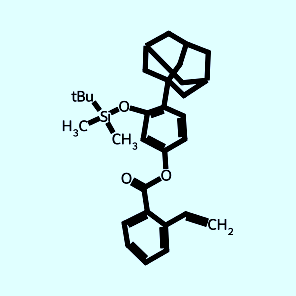 C=Cc1ccccc1C(=O)Oc1ccc(C23CC4CC(CC(C4)C2)C3)c(O[Si](C)(C)C(C)(C)C)c1